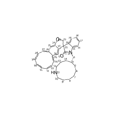 O=C1N(CC2CCCCCCNCCC2)c2ccccc2C12COc1cc3ccccccccc3cc12